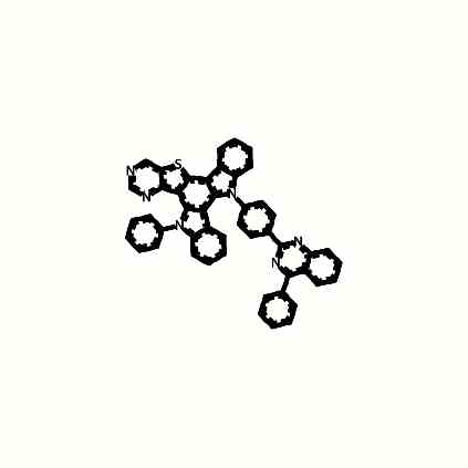 c1ccc(-c2nc(-c3ccc(-n4c5ccccc5c5c6sc7cncnc7c6c6c(c7ccccc7n6-c6ccccc6)c54)cc3)nc3ccccc23)cc1